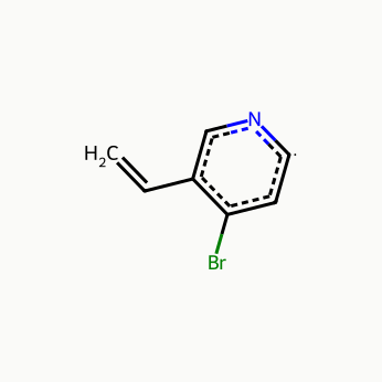 C=Cc1cn[c]cc1Br